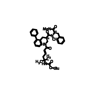 CNC(=O)[C@@H](Cc1ccccc1)N(C)C(=O)[C@@H](CNC(=O)C=CCC(C)(C)NC(=O)OC(C)(C)C)Cc1ccccc1-c1ccccc1